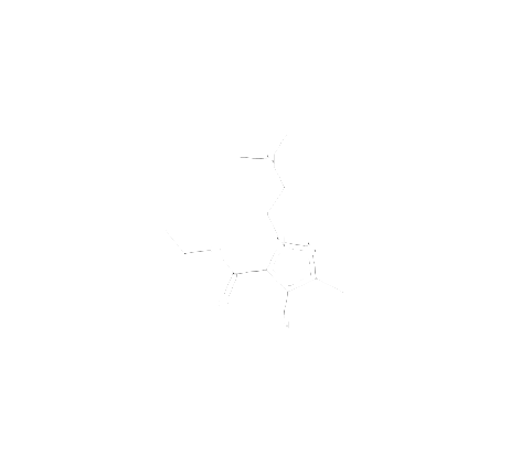 CCOC(=O)c1c(Br)c(C)nn1CCN(C)C